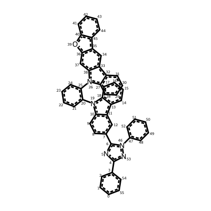 c1ccc(-c2nc(-c3ccc4c(c3)c3ccccc3n4-c3ccccc3-n3c4ccccc4c4cc5c(cc43)oc3ccccc35)n(-c3ccccc3)n2)cc1